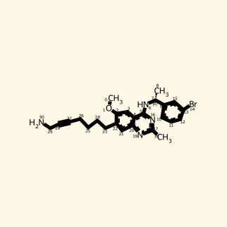 COc1cc2c(N[C@H](C)c3cccc(Br)c3)nc(C)nc2cc1CCCCC#CCN